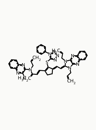 C=CCN(C(=C)/C=C/C1=C(Sc2nnnn2-c2ccccc2)C(=C/C=C2N(CC=C)c3nc4ccccc4nc3N2CC=C)/CC1)c1nc2ccccc2nc1C